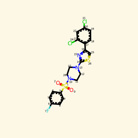 O=S(=O)(c1ccc(F)cc1)N1CCN(c2nc(-c3ccc(Cl)cc3Cl)cs2)CC1